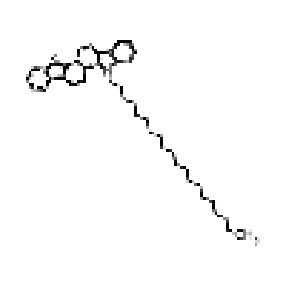 CCCCCCCCCCCCCCCCCCCCn1c2ccccc2c2ccc3c(ccc4c5ccccc5sc43)c21